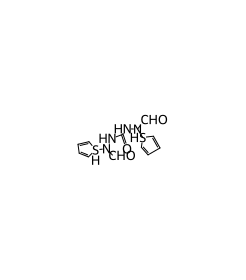 O=CN(NC(=O)NN(C=O)[SH]1C=CC=C1)[SH]1C=CC=C1